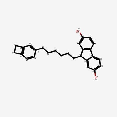 Brc1ccc2c(c1)C(CCCCCCc1ccc3c(c1)CC3)c1cc(Br)ccc1-2